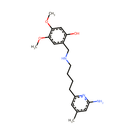 COc1cc(O)c(CNCCCCc2cc(C)cc(N)n2)cc1OC